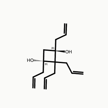 C=CCC1(CC=C)[C@@](O)(CC=C)C[C@]1(O)CC=C